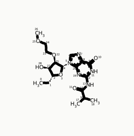 CC[C@H]1O[C@@H](n2cnc3c(=O)[nH]c(NC(=O)C(C)C)nc32)[C@H](OCCOC)[C@@H]1O